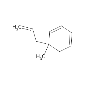 C=CCC1(C)C=CC=CC1